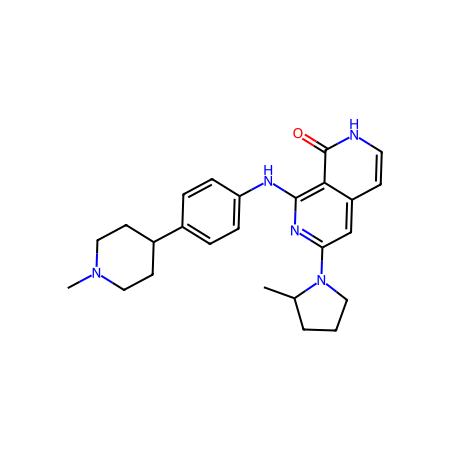 CC1CCCN1c1cc2cc[nH]c(=O)c2c(Nc2ccc(C3CCN(C)CC3)cc2)n1